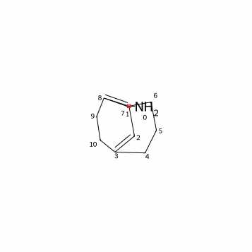 NC1C=C2CCC/C=C\1CC2